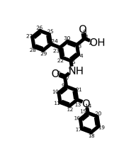 O=C(O)c1cc(NC(=O)c2cccc(Oc3ccccc3)c2)cc(-c2ccccc2)c1